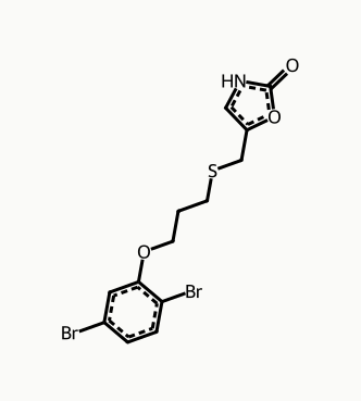 O=c1[nH]cc(CSCCCOc2cc(Br)ccc2Br)o1